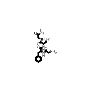 CC(C)CC(NC(=O)C(Cc1ccccc1)NC(=O)CN)C(=O)NCC(=O)PI